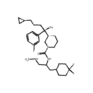 CNCC(CC1CCC(F)(F)CC1)NC(=O)N1CCC[C@@H]([C@@](O)(CCCC2CC2)c2cccc(F)c2)C1